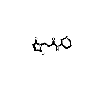 O=C(CCN1C(=O)C=CC1=O)NC1CCCSC1